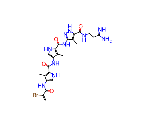 C=C(Br)C(=O)Nc1c[nH]c(C(=O)Nc2c[nH]c(C(=O)Nc3n[nH]c(C(=O)NCCC(=N)N)c3C)c2C)c1C